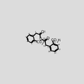 O=C(Cc1ccccc1C(=O)O)OC(=O)Cc1ccccc1C(=O)O